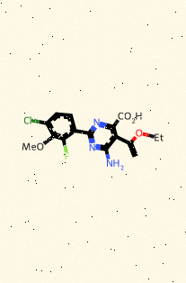 C=C(OCC)c1c(N)nc(-c2ccc(Cl)c(OC)c2F)nc1C(=O)O